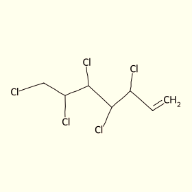 C=CC(Cl)C(Cl)C(Cl)C(Cl)CCl